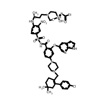 CCC(=O)N=[SH]1(O)CCN(CC[C@H](C)Nc2ccc(S(=O)(=O)NC(=O)c3ccc(N4CCN(CC5=C(c6ccc(Cl)cc6)CC(C)(C)CC5)CC4)cc3Oc3cnc4[nH]ccc4c3)cc2[N+](=O)[O-])CC1